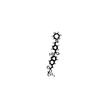 CCOC(=O)CC1CCc2cc(NC(=O)c3ccc(C=NN4CCCCCC4)cc3)ccc2C1